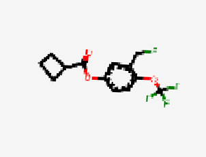 O=C(Oc1ccc(OC(F)(F)F)c(CF)c1)C1CCC1